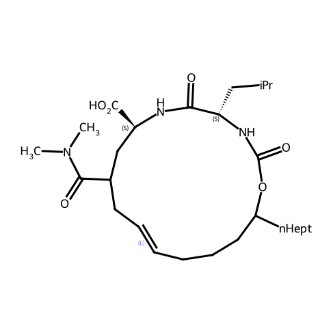 CCCCCCCC1CCC/C=C/CC(C(=O)N(C)C)C[C@@H](C(=O)O)NC(=O)[C@H](CC(C)C)NC(=O)O1